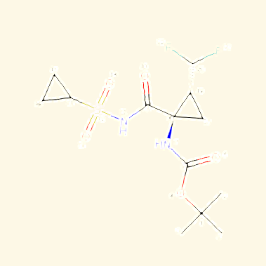 CC(C)(C)OC(=O)N[C@]1(C(=O)NS(=O)(=O)C2CC2)C[C@H]1C(F)F